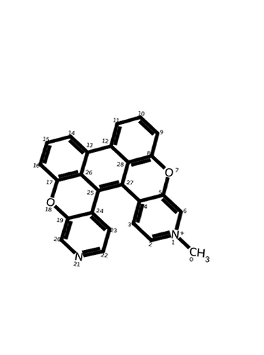 C[n+]1ccc2c(c1)oc1cccc3c4cccc5oc6cnccc6c(c54)c2c13